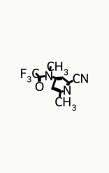 Cc1cc(N(C)C(=O)C(F)(F)F)cc(C#N)n1